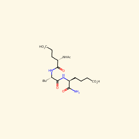 CCC(C)[C@H](NC(=O)[C@H](CCC(=O)O)NC(C)=O)C(=O)N[C@@H](CCCC(=O)O)C(N)=O